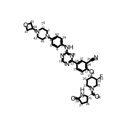 C[C@@H]1CN(c2ccc(Nc3ncnc(-c4ccc(O[C@H]5CCN(C(=O)[C@@H]6CCC(=O)N6)C[C@@H]5F)c(C#N)c4)n3)cc2)CCN1C1COC1